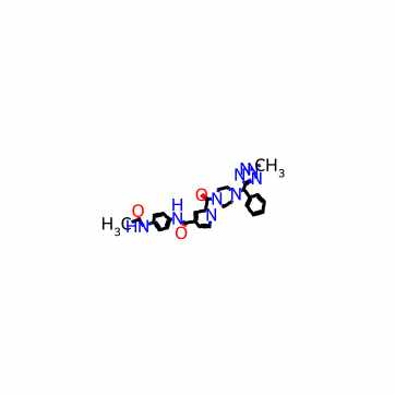 CC(=O)Nc1ccc(NC(=O)c2ccnc(C(=O)N3CCN(C(c4ccccc4)c4nnn(C)n4)CC3)c2)cc1